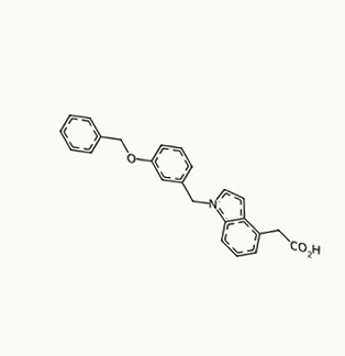 O=C(O)Cc1cccc2c1ccn2Cc1cccc(OCc2ccccc2)c1